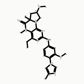 CCc1nc(Nc2ccc(-n3cnc(C)c3)c(OC)c2)nc2c1N(C)C(=O)C1(C)CC(OC)CN21